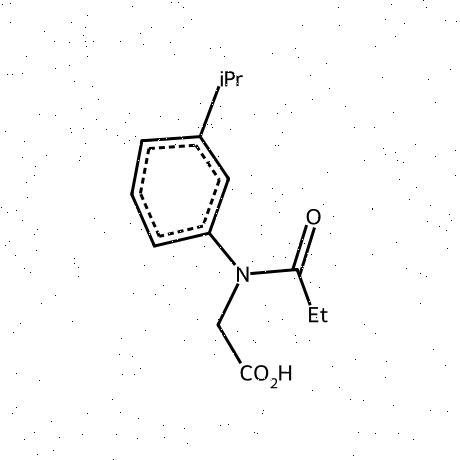 CCC(=O)N(CC(=O)O)c1cccc(C(C)C)c1